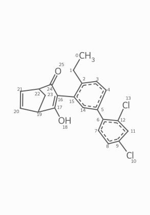 CCc1ccc(-c2ccc(Cl)cc2Cl)cc1C1=C(O)C2C=CC(C2)C1=O